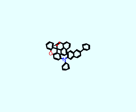 c1ccc(-c2ccc3cc(N(c4ccccc4)c4ccc5c(c4)C4(c6ccccc6O5)c5ccccc5-c5cccc6cccc4c56)ccc3c2)cc1